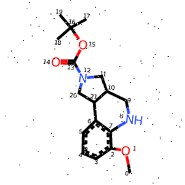 COc1cccc2c1NCC1CN(C(=O)OC(C)(C)C)CC21